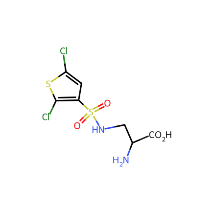 NC(CNS(=O)(=O)c1cc(Cl)sc1Cl)C(=O)O